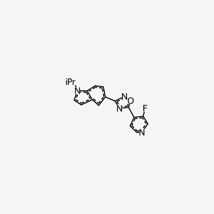 CC(C)n1ccc2cc(-c3noc(-c4ccncc4F)n3)ccc21